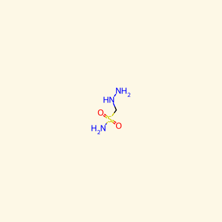 NNCS(N)(=O)=O